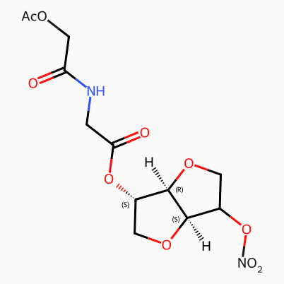 CC(=O)OCC(=O)NCC(=O)O[C@H]1CO[C@@H]2C(O[N+](=O)[O-])CO[C@H]12